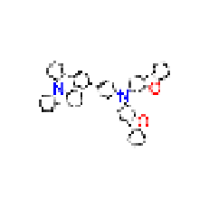 c1ccc(-n2c3ccccc3c3ccccc32)c(-c2ccc(-c3ccc(N(c4ccc5c(c4)oc4ccccc45)c4ccc5c(c4)oc4ccccc45)cc3)cc2)c1